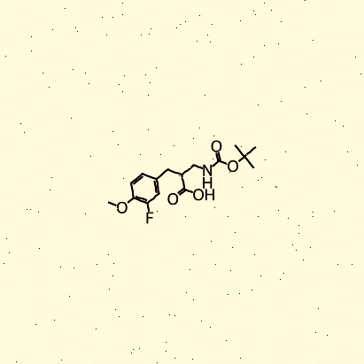 COc1ccc(CC(CNC(=O)OC(C)(C)C)C(=O)O)cc1F